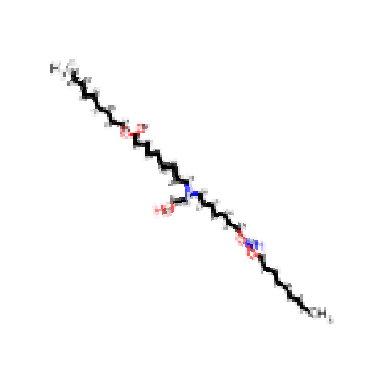 CCCCCCCCCONOCCCCCCCN(CCO)CCCCCCCCC(=O)OCCCCCCCCC